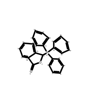 O=C1OC([P](c2ccccc2)(c2ccccc2)c2ccccc2)c2ccccc21